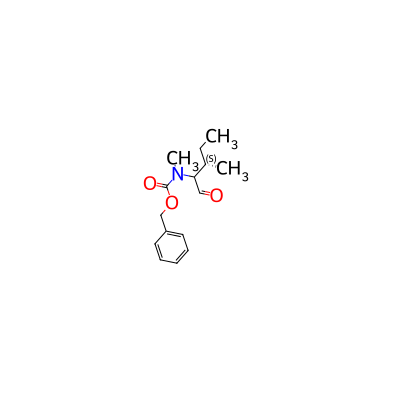 CC[C@H](C)C(C=O)N(C)C(=O)OCc1ccccc1